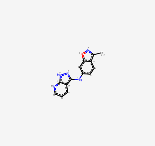 FC(F)(F)c1noc2cc(Nc3n[nH]c4ncccc34)ccc12